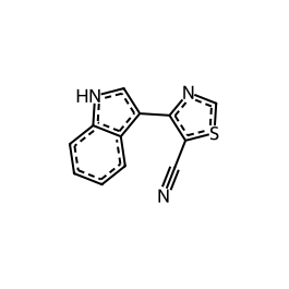 N#Cc1scnc1-c1c[nH]c2ccccc12